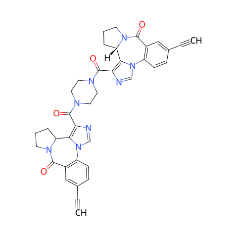 C#Cc1ccc2c(c1)C(=O)N1CCCC1c1c(C(=O)N3CCN(C(=O)c4ncn5c4[C@@H]4CCCN4C(=O)c4cc(C#C)ccc4-5)CC3)ncn1-2